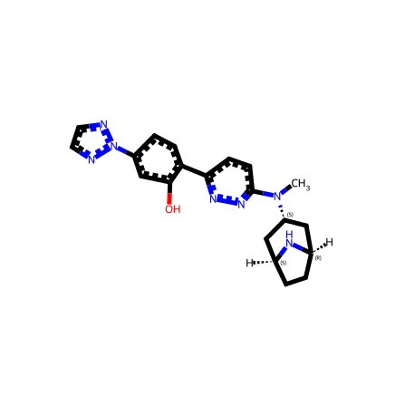 CN(c1ccc(-c2ccc(-n3nccn3)cc2O)nn1)[C@@H]1C[C@H]2CC[C@@H](C1)N2